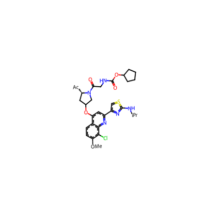 COc1ccc2c(OC3C[C@@H](C(C)=O)N(C(=O)CNC(=O)OC4CCCC4)C3)cc(-c3csc(NC(C)C)n3)nc2c1Cl